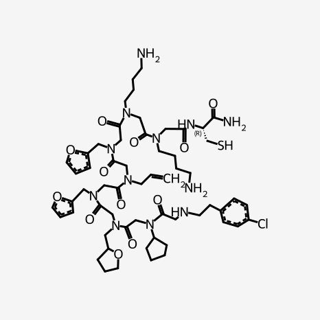 C=CCN(CC(=O)N(CC(=O)N(CCCCN)CC(=O)N(CCCCN)CC(=O)N[C@@H](CS)C(N)=O)Cc1ccco1)C(=O)CN(Cc1ccco1)C(=O)CN(CC1CCCO1)C(=O)CN(C(=O)CNCCc1ccc(Cl)cc1)C1CCCC1